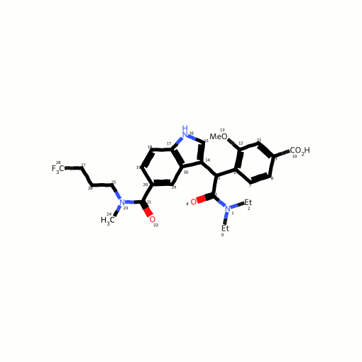 CCN(CC)C(=O)C(c1ccc(C(=O)O)cc1OC)c1c[nH]c2ccc(C(=O)N(C)CCCC(F)(F)F)cc12